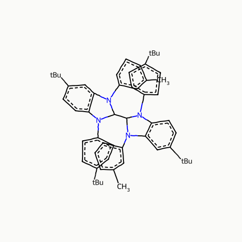 Cc1cccc(N2c3cc(C(C)(C)C)ccc3N(c3ccc(C(C)(C)C)cc3)C2C2N(c3ccc(C(C)(C)C)cc3)c3ccc(C(C)(C)C)cc3N2c2cccc(C)c2)c1